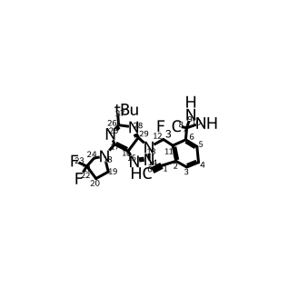 C#Cc1cccc(C2(C(F)(F)F)NN2)c1Cn1nnc2c(N3CCC(F)(F)C3)nc(C(C)(C)C)nc21